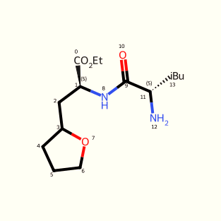 CCOC(=O)[C@H](CC1CCCO1)NC(=O)[C@@H](N)C(C)CC